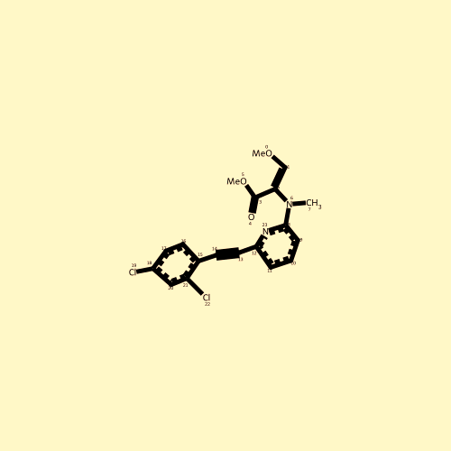 COC=C(C(=O)OC)N(C)c1cccc(C#Cc2ccc(Cl)cc2Cl)n1